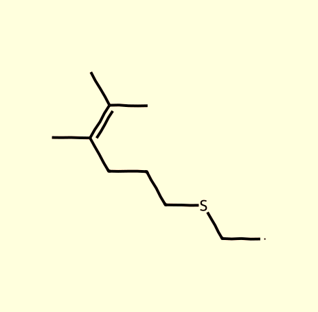 [CH2]CSCCCC(C)=C(C)C